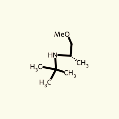 COC[C@H](C)NC(C)(C)C